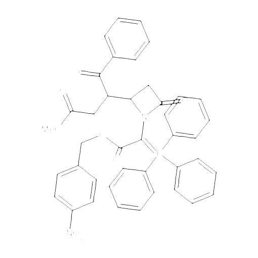 COC(=O)CC(C(=O)c1ccccc1)C1CC(=O)N1C(C(=O)OCc1ccc([N+](=O)[O-])cc1)=P(c1ccccc1)(c1ccccc1)c1ccccc1